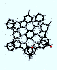 Cc1ccc2c(c1)c1cc(C)ccc1n2-c1c(-c2nc(-c3ccccc3)nc(-c3ccccc3)n2)c(-n2c3ccc(C)cc3c3cc(C)ccc32)c(-n2c3ccc(C)cc3c3cc(C)ccc32)c(-n2c3ccc(C)cc3c3cc(C)ccc32)c1-c1nc2ccccc2s1